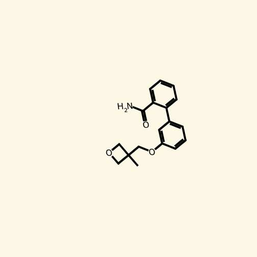 CC1(COc2cccc(-c3ccccc3C(N)=O)c2)COC1